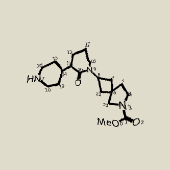 COC(=O)N1CCC2(CC(N3CCCC(C4CCNCC4)C3=O)C2)C1